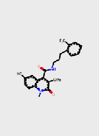 COc1c(C(=O)NCCCc2ccccc2C(F)(F)F)c2cc(C#N)ccc2n(C)c1=O